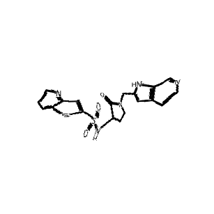 O=C1C(NS(=O)(=O)c2cc3ncccc3s2)CCN1Cc1cc2ccncc2[nH]1